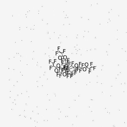 O=C(OC(F)(F)C(F)(F)OC12C(F)(F)C3(F)C(F)(F)C(OC(F)(F)C(F)(F)OC(=O)C(F)=C(F)F)(C1(F)F)C(F)(F)C(OC(F)(F)C(F)(F)OC(=O)C(F)=C(F)F)(C3(F)F)C2(F)F)C(F)=C(F)F